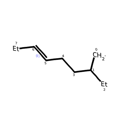 [CH2]C(CC)CC/C=C/CC